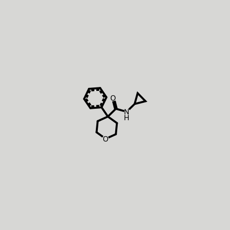 O=C(NC1CC1)C1(c2ccccc2)CCOCC1